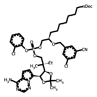 CCCCCCCCCCCCCCCCC[C@H](COP(=O)(OC[C@@](C)(CC)[C@H]1OC(C)(C)O[C@H]1c1ccc2c(N)ncnn12)Oc1ccccc1Cl)OCc1cc(Cl)cc(C#N)c1